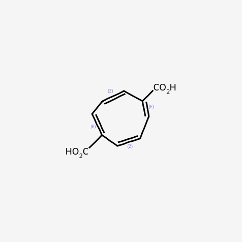 O=C(O)C1=C/C=C\C(C(=O)O)=C/C=C\1